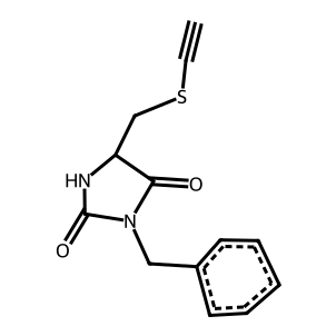 C#CSCC1NC(=O)N(Cc2ccccc2)C1=O